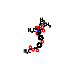 CCOC(=O)C(CC(=O)c1ccc(Oc2ccc(C(=O)COC(C)=O)cc2)cc1)(NC(C)=O)C(=O)OCC